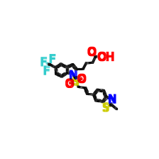 Cc1nc2ccc(C=CCS(=O)(=O)n3c(CCCC(=O)O)cc4cc(C(F)(F)F)ccc43)cc2s1